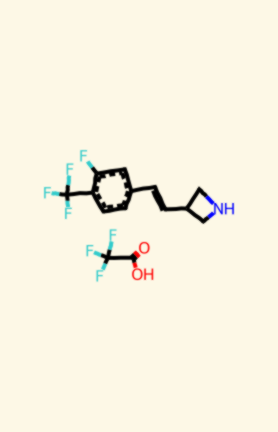 Fc1cc(/C=C/C2CNC2)ccc1C(F)(F)F.O=C(O)C(F)(F)F